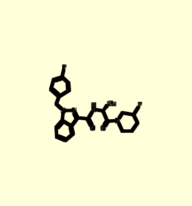 CC(C)(C)[C@H](NC(=O)c1nn(Cc2ccc(F)cc2)c2ccccc12)C(=O)N1CCCC(F)C1